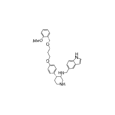 COc1ccccc1COCCCOc1ccc(C2CCNCC2NCc2ccc3[nH]ccc3c2)cc1